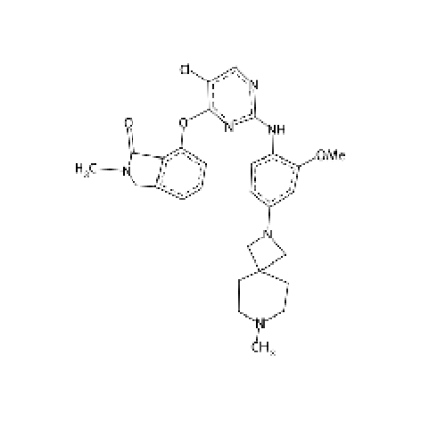 COc1cc(N2CC3(CCN(C)CC3)C2)ccc1Nc1ncc(Cl)c(Oc2cccc3c2C(=O)N(C)C3)n1